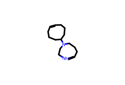 C1=CCCCC(N2CCCC=CNCC2)CCC1